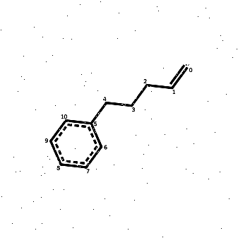 [C]=CCCCc1ccccc1